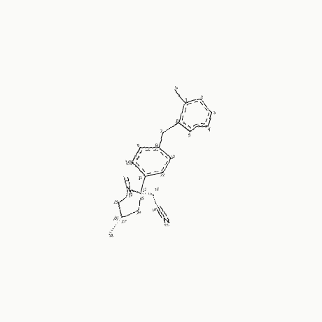 Cc1ccccc1Cc1ccc([C@@]2(CC#N)C[C@H](C)CN2)cc1